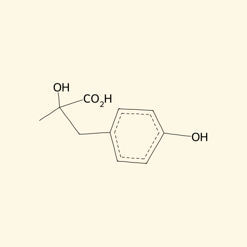 CC(O)(Cc1ccc(O)cc1)C(=O)O